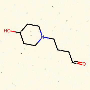 O=[C]CCCN1CCC(O)CC1